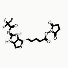 O=C(CCCC[C@@H]1SCC2N/C(=N/C(=O)C(F)(F)F)NC21)ON1C(=O)CCC1=O